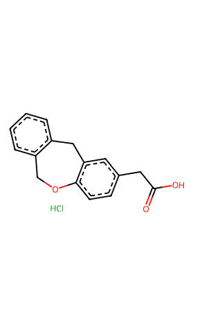 Cl.O=C(O)Cc1ccc2c(c1)Cc1ccccc1CO2